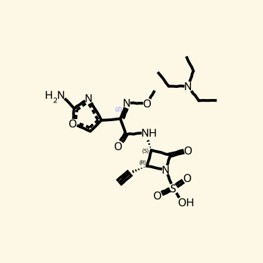 C#C[C@@H]1[C@H](NC(=O)/C(=N\OC)c2coc(N)n2)C(=O)N1S(=O)(=O)O.CCN(CC)CC